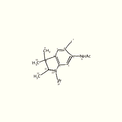 CC(=O)Nc1cc2c(cc1I)C(C)(C)C(C)N2C(C)C